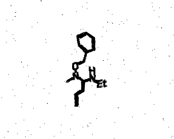 C=C/C=C(/NCC)N(C)OCc1ccccc1